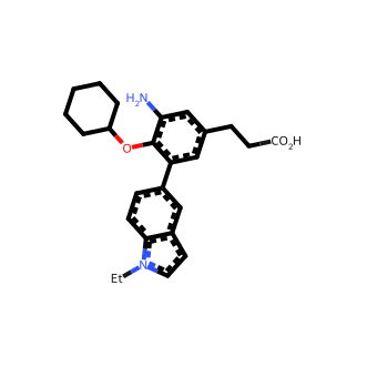 CCn1ccc2cc(-c3cc(CCC(=O)O)cc(N)c3OC3CCCCC3)ccc21